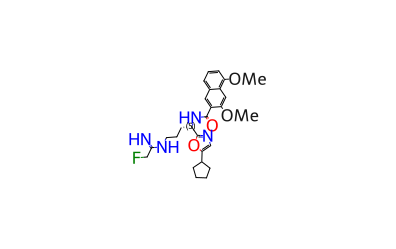 COc1cc2c(OC)cccc2cc1C(=O)N[C@@H](CCCNC(=N)CF)c1ncc(C2CCCC2)o1